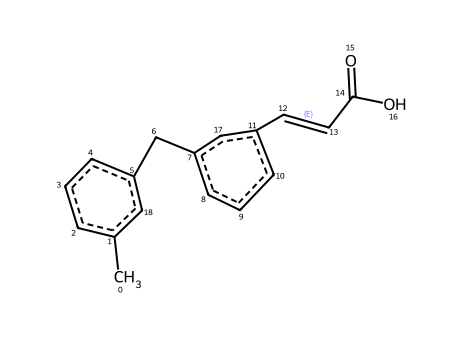 Cc1cccc(Cc2cccc(/C=C/C(=O)O)c2)c1